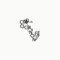 Cc1cccc(Cl)c1-c1noc(C2CC2)c1C1=CC2(CCN(c3ccc4nccc(C(F)(F)F)c4c3)CC2)C1